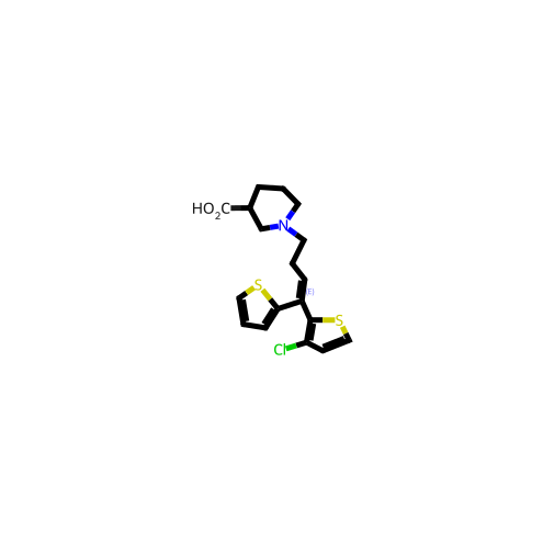 O=C(O)C1CCCN(CC/C=C(\c2cccs2)c2sccc2Cl)C1